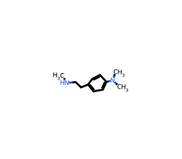 CNCCc1ccc(N(C)C)cc1